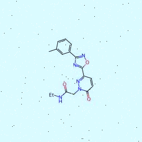 CCNC(=O)Cn1nc(-c2nc(-c3cccc(C)c3)no2)ccc1=O